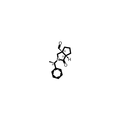 C[C@H](c1ccccc1)N1C[C@]2(C=O)CCC[C@@H]2C1=O